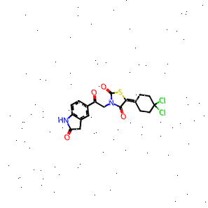 O=C1Cc2cc(C(=O)CN3C(=O)SC(=C4CCC(Cl)(Cl)CC4)C3=O)ccc2N1